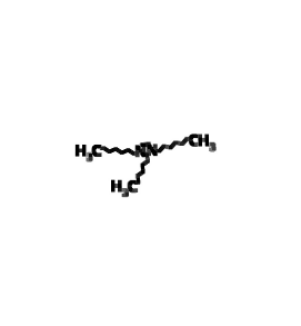 CCCCCCCN1C=CN(CCCCCCC)C1CCCCCC